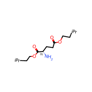 CC(C)CCOC(=O)CC[C@H](N)C(=O)OCCC(C)C